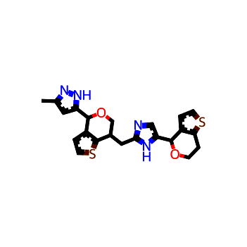 Cc1cc(C2OCC(Cc3ncc(C4OCCc5sccc54)[nH]3)c3sccc32)[nH]n1